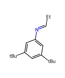 [CH2]CC=Nc1cc(C(C)(C)C)cc(C(C)(C)C)c1